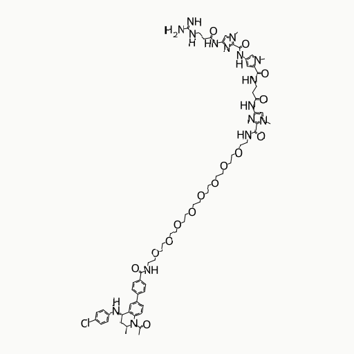 CC(=O)N1c2ccc(-c3ccc(C(=O)NCCOCCOCCOCCOCCOCCOCCOCCOCCNC(=O)c4nc(NC(=O)CCNC(=O)c5cc(NC(=O)c6nc(NC(=O)CCNC(=N)N)cn6C)cn5C)cn4C)cc3)cc2[C@H](Nc2ccc(Cl)cc2)C[C@@H]1C